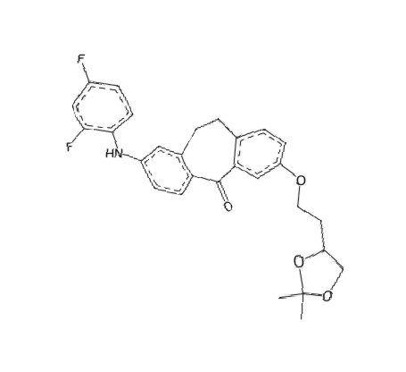 CC1(C)OCC(CCOc2ccc3c(c2)C(=O)c2ccc(Nc4ccc(F)cc4F)cc2CC3)O1